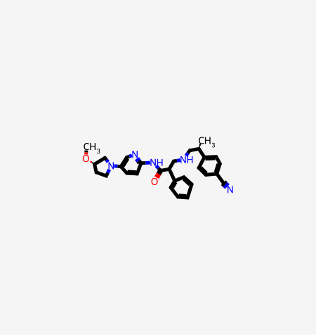 CO[C@H]1CCN(c2ccc(NC(=O)C(CNC[C@H](C)c3ccc(C#N)cc3)c3ccccc3)nc2)C1